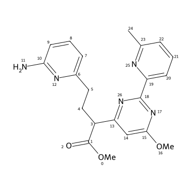 COC(=O)C(CCc1cccc(N)n1)c1cc(OC)nc(-c2cccc(C)n2)n1